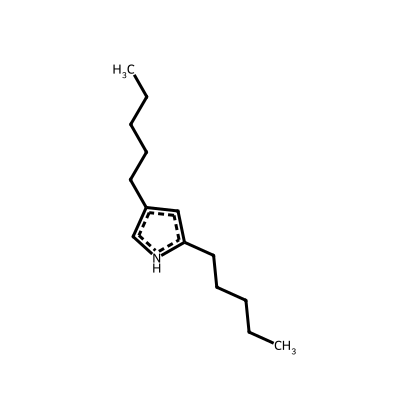 CCCCCc1c[nH]c(CCCCC)c1